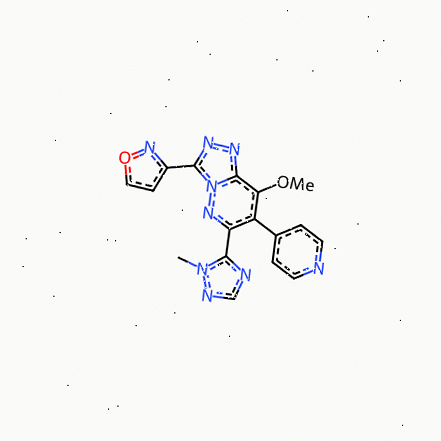 COc1c(-c2ccncc2)c(-c2ncnn2C)nn2c(-c3ccon3)nnc12